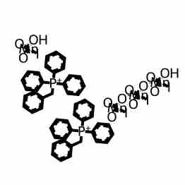 [O]=[Mn](=[O])([O-])[I].[O]=[Mn](=[O])([O-])[I].[O]=[Mn](=[O])([OH])[I].[O]=[Mn](=[O])([OH])[I].c1ccc(C[P+](c2ccccc2)(c2ccccc2)c2ccccc2)cc1.c1ccc(C[P+](c2ccccc2)(c2ccccc2)c2ccccc2)cc1